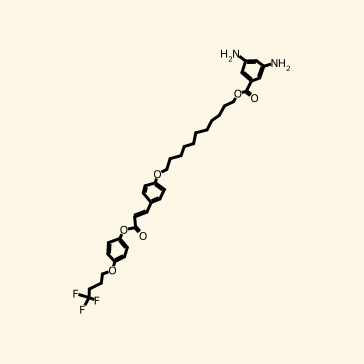 Nc1cc(N)cc(C(=O)OCCCCCCCCCCCOc2ccc(/C=C/C(=O)Oc3ccc(OCCCC(F)(F)F)cc3)cc2)c1